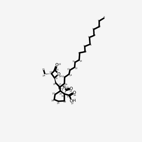 CCCCCCCCCCCCCCCCCC(C[C@@H]1OC(=O)[C@H]1CC)C1CCCC[C@]1(C(N)=O)C(=O)O